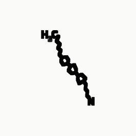 CCCCCCCC1CCC(C2CCC(C3CCC(CCCCC#N)CC3)CC2)CC1